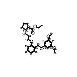 CCOC(=O)N1CCC[C@H]1CCCOc1ccccc1CCc1cc(OC)cc(OC)c1